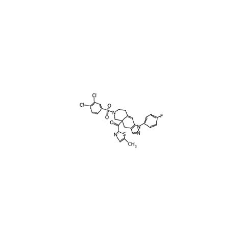 Cc1cnc(C(=O)C23Cc4cnn(-c5ccc(F)cc5)c4C=C2CCN(S(=O)(=O)c2ccc(Cl)c(Cl)c2)C3)s1